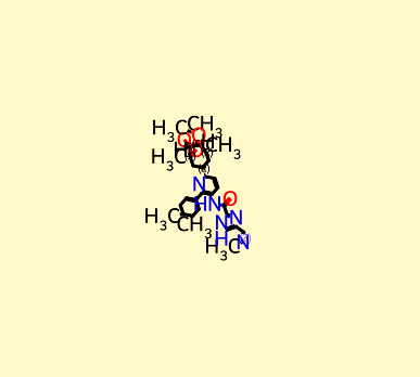 C/N=C\c1c[nH]c(C(=O)Nc2ccc([C@H]3C[C@@]4(C)O[C@@](C)(C3)[C@@H]3OC(C)(C)O[C@@H]34)nc2C2=CCC(C)(C)CC2)n1